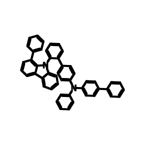 c1ccc(-c2ccc(N(c3ccccc3)c3ccc(-c4ccccc4-n4c5ccccc5c5cccc(-c6ccccc6)c54)cc3)cc2)cc1